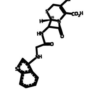 O=C(CNc1csc2ccccc12)NC1C(=O)N2C(C(=O)O)=C(Cl)CS[C@@H]12